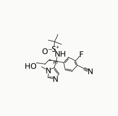 Cn1cncc1[C@](CCCO)(N[S+]([O-])C(C)(C)C)c1ccc(C#N)c(F)c1